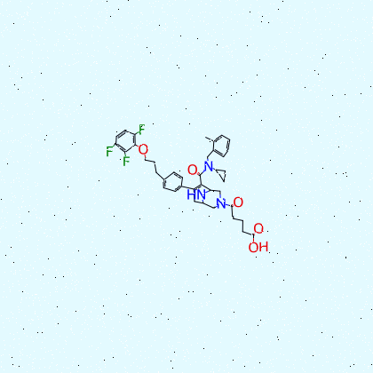 Cc1ccccc1CN(C(=O)C1=C(c2ccc(CCCOc3c(F)ccc(F)c3F)cc2)CC2CN(C(=O)CCCC(=O)O)CC1N2)C1CC1